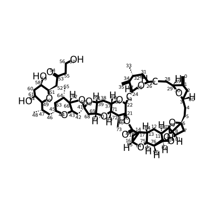 C=C1C[C@@H]2CC[C@@]34C[C@H]5O[C@@H]6[C@@H](C[C@H]7CC[C@H](CC(=O)O[C@H]8C(C[C@H]9O[C@@H](CC[C@@H]1O2)C[C@@H](C)C9=C)O[C@H]1C[C@H]2O[C@@]9(CC%10O[C@H](C[C@H](C)C%11O[C@H](CC(=O)CCO)[C@H](O)C[C@@H]%11O)C[C@H](C)[C@@H]%10O9)C[C@H]2O[C@H]1[C@@H]8C)O[C@@H]7[C@@H]6O3)[C@@H]5O4